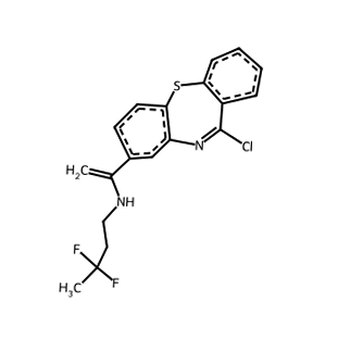 C=C(NCCC(C)(F)F)c1ccc2c(c1)N=C(Cl)c1ccccc1S2